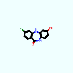 O=C1Nc2ccc(O)cc2Nc2cc(Cl)ccc21